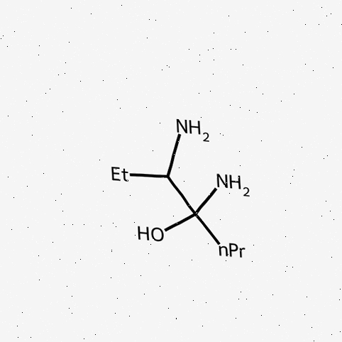 CCCC(N)(O)C(N)CC